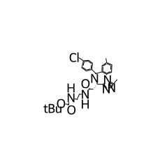 Cc1ccc2c(c1)C(c1ccc(Cl)cc1)=N[C@@H](CC(=O)NCCNC(=O)OC(C)(C)C)c1nnc(C)n1-2